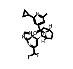 Cc1cc(C(=O)N2[C@H]3CC[C@@H]2[C@H](c2cc(C(F)F)nc4ncnn24)CC3)cc(C2CC2)n1